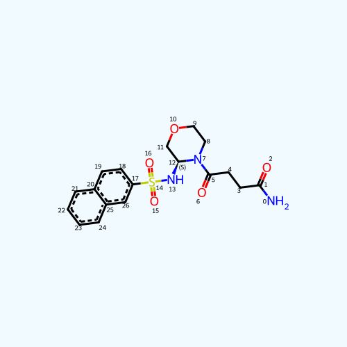 NC(=O)CCC(=O)N1CCOC[C@@H]1NS(=O)(=O)c1ccc2ccccc2c1